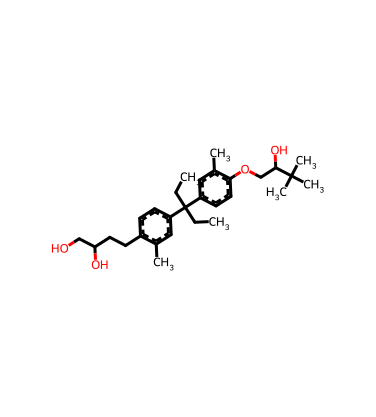 CCC(CC)(c1ccc(CCC(O)CO)c(C)c1)c1ccc(OCC(O)C(C)(C)C)c(C)c1